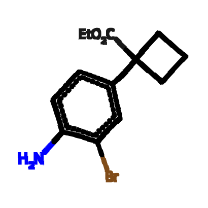 CCOC(=O)C1(c2ccc(N)c(Br)c2)CCC1